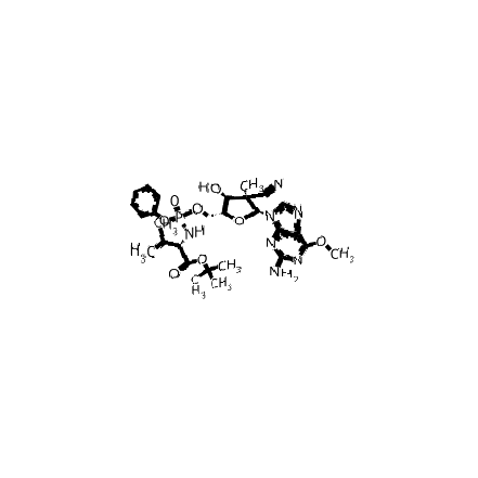 COc1nc(N)nc2c1ncn2[C@@H]1O[C@H](COP(=O)(N[C@H](C(=O)OC(C)(C)C)C(C)C)Oc2ccccc2)[C@@H](O)[C@@]1(C)C#N